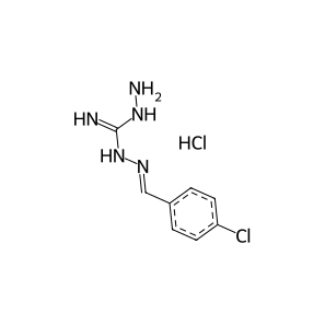 Cl.N=C(NN)N/N=C/c1ccc(Cl)cc1